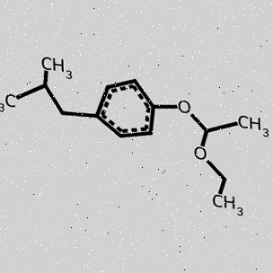 CCOC(C)Oc1ccc(CC(C)C)cc1